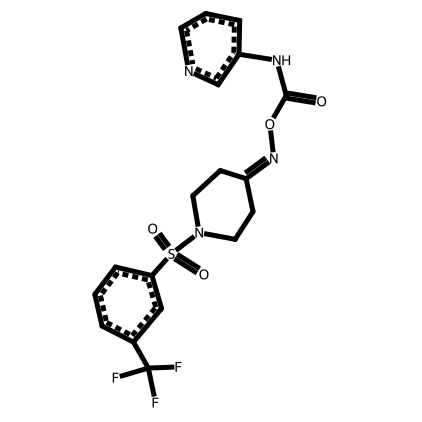 O=C(Nc1cccnc1)ON=C1CCN(S(=O)(=O)c2cccc(C(F)(F)F)c2)CC1